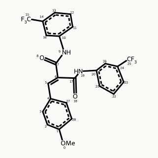 COc1ccc(C=C(C(=O)Nc2cccc(C(F)(F)F)c2)C(=O)Nc2cccc(C(F)(F)F)c2)cc1